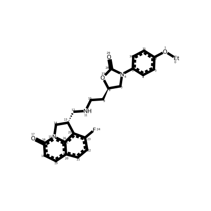 CCOc1ccc(N2C[C@@H](CCNC[C@H]3Cn4c(=O)ccc5ccc(F)c3c54)OC2=O)cc1